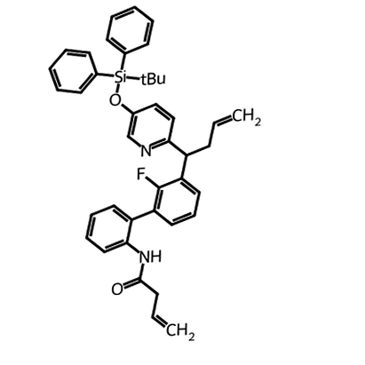 C=CCC(=O)Nc1ccccc1-c1cccc(C(CC=C)c2ccc(O[Si](c3ccccc3)(c3ccccc3)C(C)(C)C)cn2)c1F